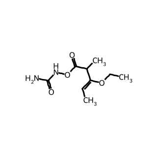 CC=C(OCC)C(C)C(=O)ONC(N)=O